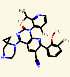 COc1c(C)cccc1-c1nc2c(cc1C#N)c(N1CCNCC13CC3)nc(=O)n2-c1c(C)ccnc1C(C)C